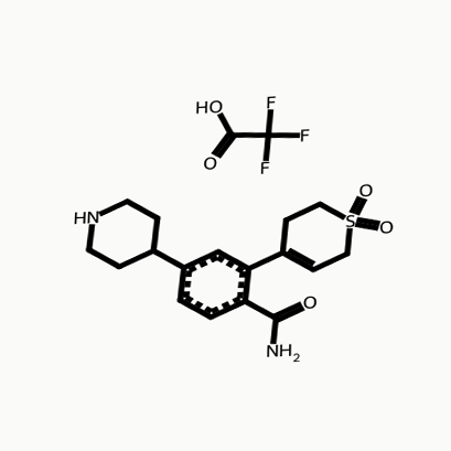 NC(=O)c1ccc(C2CCNCC2)cc1C1=CCS(=O)(=O)CC1.O=C(O)C(F)(F)F